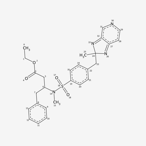 CCOC(=O)CC(Cc1ccccc1)N(C)S(=O)(=O)c1ccc(CC2(C)N=c3ccncc3=N2)cc1